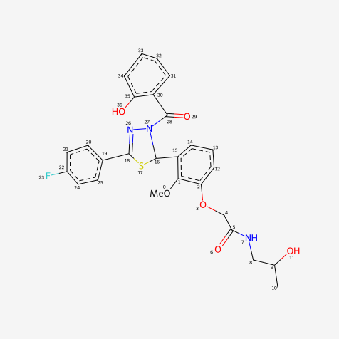 COc1c(OCC(=O)NCC(C)O)cccc1C1SC(c2ccc(F)cc2)=NN1C(=O)c1ccccc1O